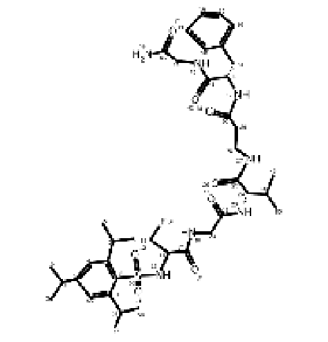 CC(C)c1cc(C(C)C)c(S(=O)(=O)NC(CF)C(=O)NCC(=O)N[C@H](C(=O)NCCC(=O)N[C@@H](Cc2ccccc2)C(=O)NCC(N)=O)C(C)C)c(C(C)C)c1